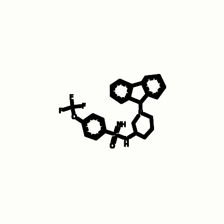 N=S(=O)(NC1CCCN(C2c3ccccc3-c3ccccc32)C1)c1ccc(OC(F)(F)F)cc1